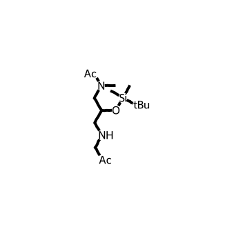 CC(=O)CNCC(CN(C)C(C)=O)O[Si](C)(C)C(C)(C)C